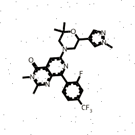 Cc1nc2c(-c3ccc(C(F)(F)F)cc3F)nc(N3CC(c4cnn(C)c4)OC(C)(C)C3)cc2c(=O)n1C